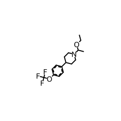 CCOC(C)N1CCC(c2ccc(OC(F)(F)F)cc2)CC1